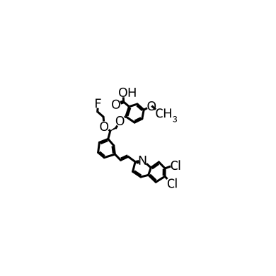 COc1ccc(OC[C@H](OCCF)c2cccc(/C=C/c3ccc4cc(Cl)c(Cl)cc4n3)c2)c(C(=O)O)c1